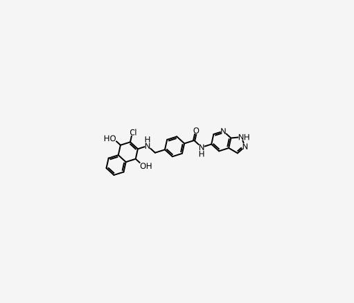 O=C(Nc1cnc2[nH]ncc2c1)c1ccc(CNC2=C(Cl)C(O)c3ccccc3C2O)cc1